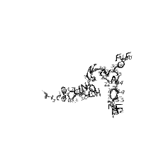 CCS(=O)(=O)c1ccc([C@H](CO)NC(=O)c2cnc(CN3CCN(Cc4ccc(C(F)(F)F)cc4)CC3COC(F)F)s2)cc1